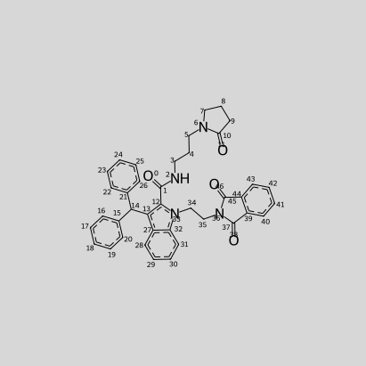 O=C(NCCCN1CCCC1=O)c1c(C(c2ccccc2)c2ccccc2)c2ccccc2n1CCN1C(=O)c2ccccc2C1=O